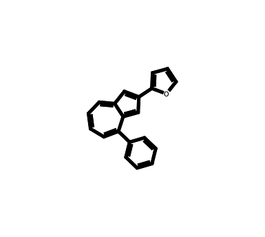 [c]1c(-c2ccco2)cc2c(-c3ccccc3)ccccc1-2